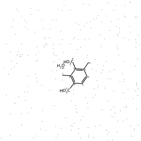 Cc1ccc(C(=O)O)c(C)c1C(=O)O.O